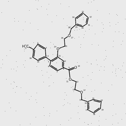 Cc1ccc(-c2ccc(C(=O)OCCOCc3ccccc3)cc2OCCOCc2ccccc2)cc1